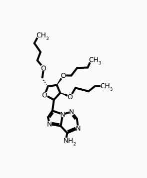 CCCCOC[C@H]1OC(c2cnc3c(N)ncnn23)[C@H](OCCCC)[C@@H]1OCCCC